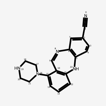 N#Cc1ccc2c(c1)N=Cc1c(cccc1N1CCNCC1)N2